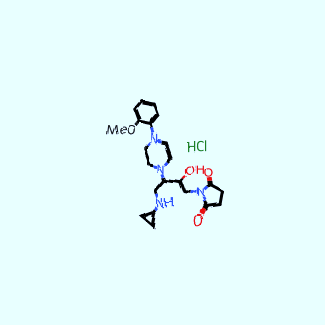 COc1ccccc1N1CCN(C(CNC2CC2)C(O)CN2C(=O)CCC2=O)CC1.Cl